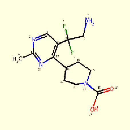 Cc1ncc(C(F)(F)CN)c(C2CCN(C(=O)O)CC2)n1